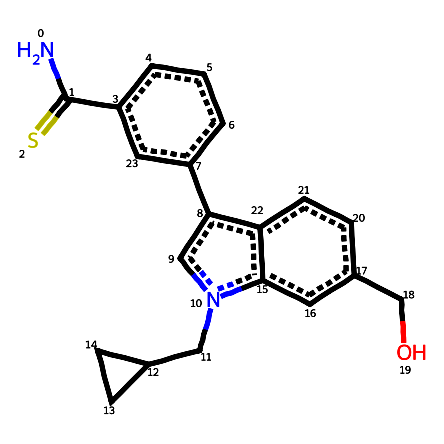 NC(=S)c1cccc(-c2cn(CC3CC3)c3cc(CO)ccc23)c1